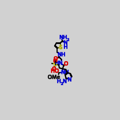 COC(O)NC(CCS(C)(=O)=O)(Cc1ccnc(N)c1)C(=O)NCC(=O)NCc1ccc(C(=N)N)s1